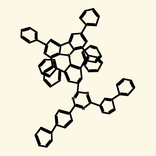 c1ccc(-c2ccc(-c3nc(-c4cccc(-c5ccccc5)c4)nc(-c4cc(-c5ccccc5)c(-n5c6c(-c7ccccc7)cc(-c7ccccc7)cc6c6cc(-c7ccccc7)cc(-c7ccccc7)c65)c(-c5ccccc5)c4)n3)cc2)cc1